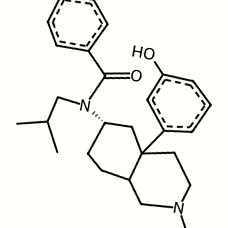 CC(C)CN(C(=O)c1ccccc1)[C@H]1CCC2CN(C)CCC2(c2cccc(O)c2)C1